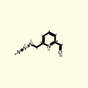 [N-]=[N+]=NCc1cccc(C=O)n1